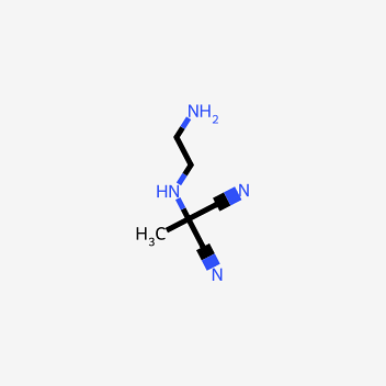 CC(C#N)(C#N)NCCN